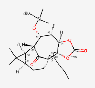 CC1=C[C@]23CC[C@@H]4[C@H]([C@@H](C2=O)[C@H](O[Si](C)(C)C(C)(C)C)[C@H](C)[C@H]2OC(=O)O[C@]23[C@H]1C)C4(C)C